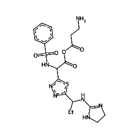 CCC(NC1=NCCN1)c1nnc(C(NS(=O)(=O)c2ccccc2)C(=O)OC(=O)CCN)s1